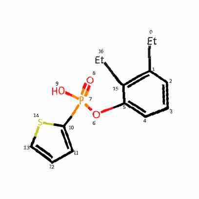 CCc1cccc(OP(=O)(O)c2cccs2)c1CC